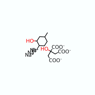 CC1CCC(C(C)C)C(O)C1.O=C([O-])CC(O)(CC(=O)[O-])C(=O)[O-].[Na+].[Na+].[Na+]